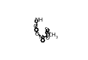 Cn1c(C(=O)c2cn(CCOc3ccc(OCC4CCNC4)cc3)c3ccccc23)cc2sccc21